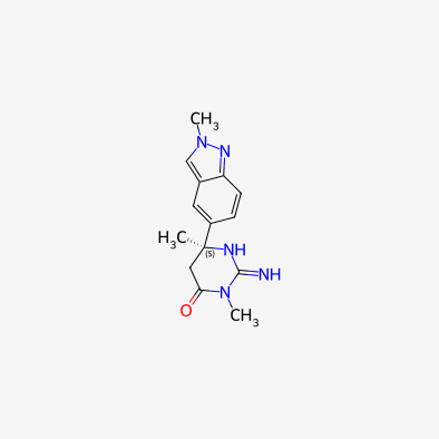 CN1C(=N)N[C@](C)(c2ccc3nn(C)cc3c2)CC1=O